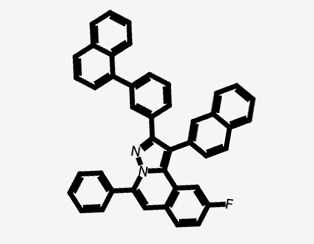 Fc1ccc2cc(-c3ccccc3)n3nc(-c4cccc(-c5cccc6ccccc56)c4)c(-c4ccc5ccccc5c4)c3c2c1